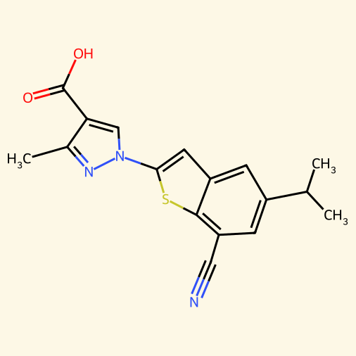 Cc1nn(-c2cc3cc(C(C)C)cc(C#N)c3s2)cc1C(=O)O